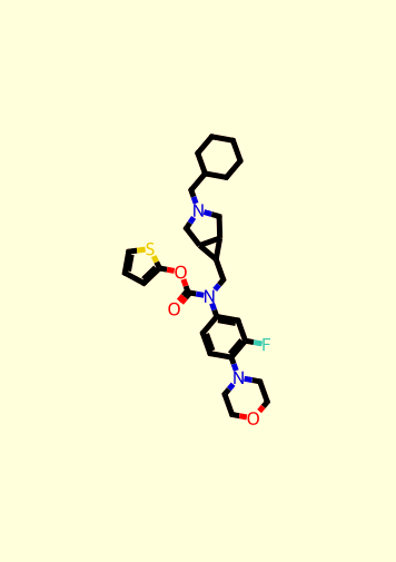 O=C(Oc1cccs1)N(CC1C2CN(CC3CCCCC3)CC21)c1ccc(N2CCOCC2)c(F)c1